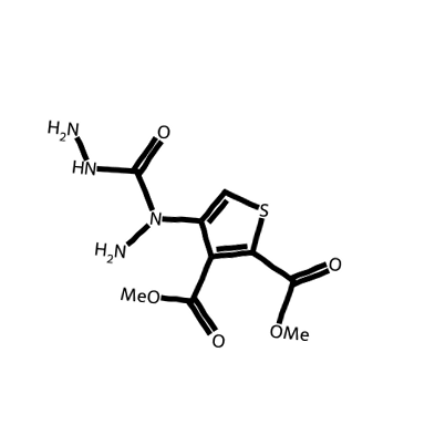 COC(=O)c1scc(N(N)C(=O)NN)c1C(=O)OC